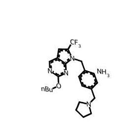 CCCCOc1ncc2cc(C(F)(F)F)n(Cc3ccc(CN4CCCC4)cc3)c2n1.N